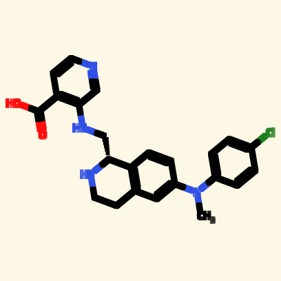 CN(c1ccc(Cl)cc1)c1ccc2c(c1)CCN[C@@H]2CNc1cnccc1C(=O)O